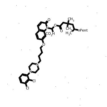 CCCCCC(C)CC(C)(C)CC(=O)OC(C(=O)O)n1c(=O)ccc2ccc(OCCCCN3CCN(c4cccc(Cl)c4Cl)CC3)cc21